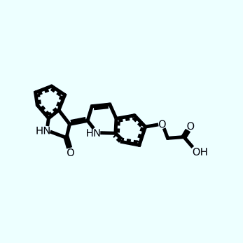 O=C(O)COc1ccc2c(c1)C=C/C(=C1/C(=O)Nc3ccccc31)N2